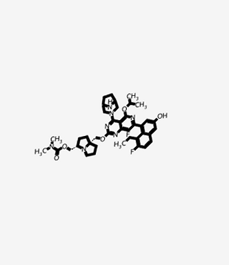 CCc1c(F)ccc2cc(O)cc(-c3nc(OC(C)C)c4c(N5CC6CCC(C5)N6)nc(OC[C@]56CCCN5[C@H](COC(=O)N(C)C)CC6)nc4c3F)c12